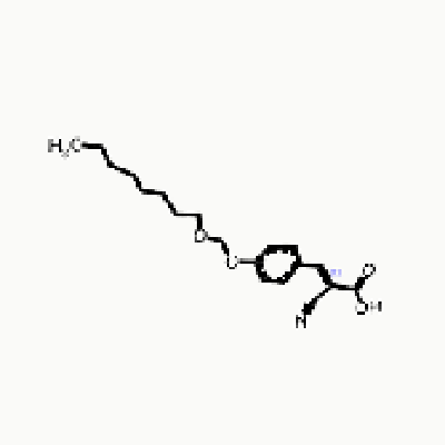 CCCCCCCCOCOc1ccc(/C=C(\C#N)C(=O)O)cc1